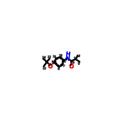 CC(C)C(=O)Nc1ccc(OC(C)(C)C)cc1